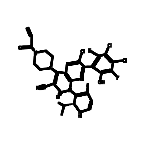 C=CC(=O)N1CCN(c2c(C#N)c(=O)n(C3=C(C)C=CN[C@@H]3C(C)C)c3nc(-c4c(O)c(F)c(Cl)c(Cl)c4F)c(Cl)cc23)CC1